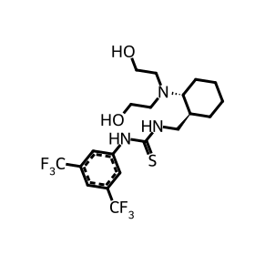 OCCN(CCO)[C@@H]1CCCC[C@H]1CNC(=S)Nc1cc(C(F)(F)F)cc(C(F)(F)F)c1